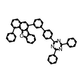 c1ccc(-c2nc(-c3ccccc3)nc(-c3ccc(-c4cccc(-c5cc6cccc(-c7ccccc7)c6c6oc7ccccc7c56)c4)cc3)n2)cc1